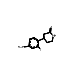 COc1ccc(C2CCNC(=O)C2)c(F)c1